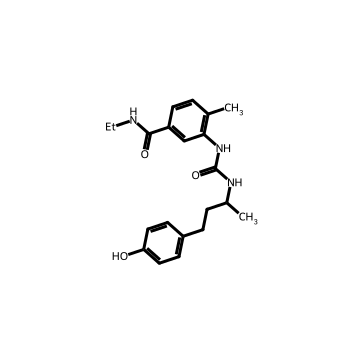 CCNC(=O)c1ccc(C)c(NC(=O)NC(C)CCc2ccc(O)cc2)c1